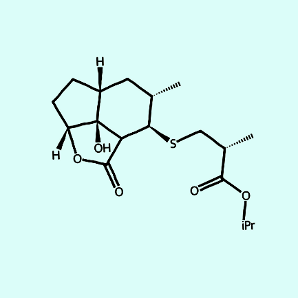 CC(C)OC(=O)[C@@H](C)CS[C@H]1C2C(=O)O[C@@H]3CC[C@H](C[C@@H]1C)[C@]23O